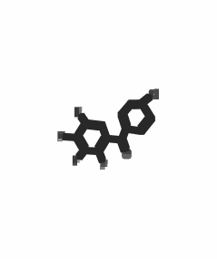 O=C(c1ccc(Cl)cc1)c1cc(F)c(F)c(F)c1F